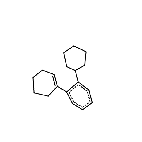 C1=C(c2ccccc2C2CCCCC2)CCCC1